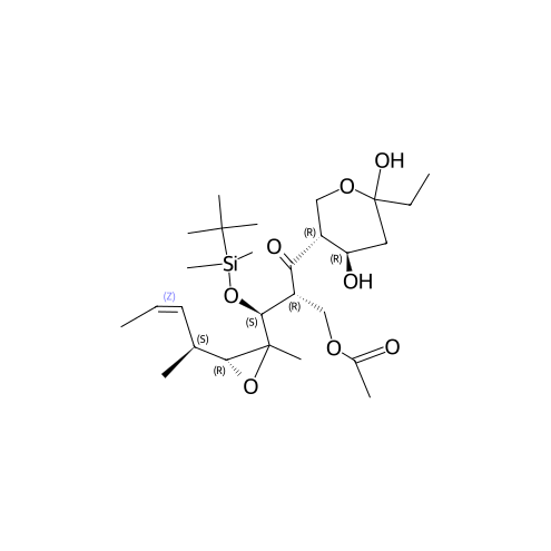 C/C=C\[C@H](C)[C@H]1OC1(C)[C@@H](O[Si](C)(C)C(C)(C)C)[C@@H](COC(C)=O)C(=O)[C@@H]1COC(O)(CC)C[C@H]1O